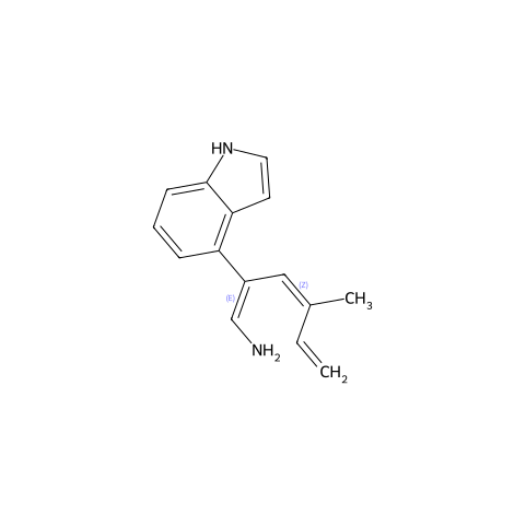 C=C/C(C)=C\C(=C/N)c1cccc2[nH]ccc12